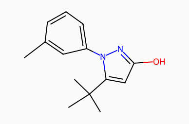 Cc1cccc(-n2nc(O)cc2C(C)(C)C)c1